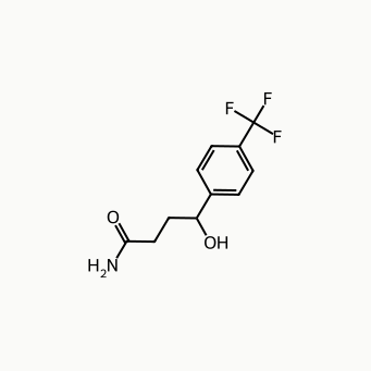 NC(=O)CCC(O)c1ccc(C(F)(F)F)cc1